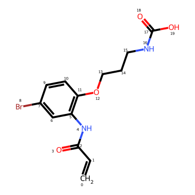 C=CC(=O)Nc1cc(Br)ccc1OCCCNC(=O)O